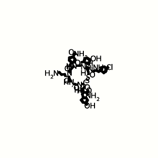 C[C@@H]1NC(=O)[C@H](CCCCN)NC(=O)[C@@H](Cc2ccc(C(N)=O)cc2)NC(=O)[C@H](Cc2ccc(O)cc2)NC(=O)[C@H](NC(=O)[C@@H](N)Cc2ccc(Cl)cc2)CSSC[C@@H](C(=O)NC(Cc2ccc(O)cc2)C(N)=O)NC1=O